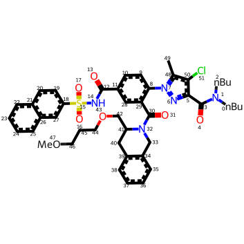 CCCCN(CCCC)C(=O)c1nn(-c2ccc(C(=O)NS(=O)(=O)c3ccc4ccccc4c3)cc2C(=O)N2Cc3ccccc3CC2COCCCOC)c(C)c1Cl